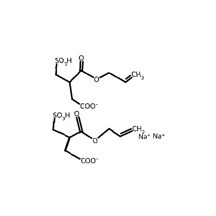 C=CCOC(=O)C(CC(=O)[O-])CS(=O)(=O)O.C=CCOC(=O)C(CC(=O)[O-])CS(=O)(=O)O.[Na+].[Na+]